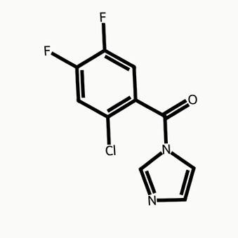 O=C(c1cc(F)c(F)cc1Cl)n1ccnc1